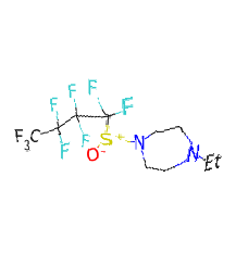 CCN1CCN([S+]([O-])C(F)(F)C(F)(F)C(F)(F)C(F)(F)F)CC1